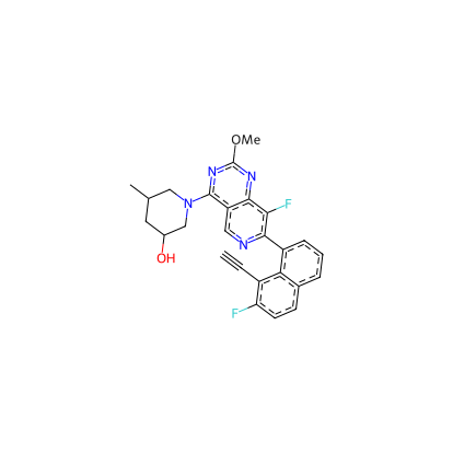 C#Cc1c(F)ccc2cccc(-c3ncc4c(N5CC(C)CC(O)C5)nc(OC)nc4c3F)c12